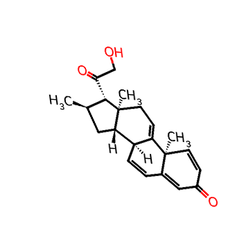 C[C@@H]1C[C@H]2[C@@H]3C=CC4=CC(=O)C=C[C@]4(C)C3=CC[C@]2(C)[C@H]1C(=O)CO